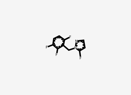 Fc1ccc(F)c(Cn2nccc2F)c1F